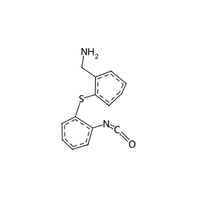 NCc1ccccc1Sc1ccccc1N=C=O